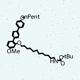 CCCCCOc1ccc(-c2ccc(-c3ccc(OC)cc3OCCCCCCCCCCCCNC(=O)OC(C)(C)C)cc2)cc1